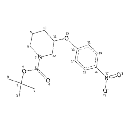 CC(C)(C)OC(=O)N1CCCC(Oc2ccc([N+](=O)[O-])cc2)C1